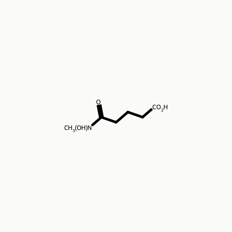 CN(O)C(=O)CCCC(=O)O